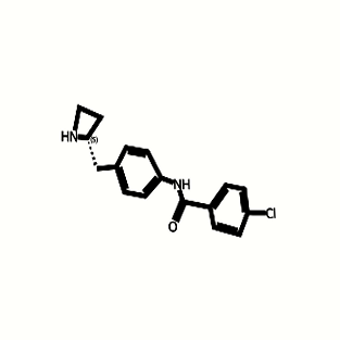 O=C(Nc1ccc(C[C@H]2CCN2)cc1)c1ccc(Cl)cc1